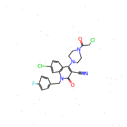 N#Cc1c(N2CCN(C(=O)CCl)CC2)c2ccc(Cl)cc2n(Cc2ccc(F)cc2)c1=O